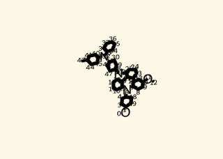 COc1ccc(N(c2ccc(OC)cc2)c2cccc3c2c2ccccc2n3-c2ccc(N(c3ccccc3)c3ccc(C)cc3)cc2)cc1